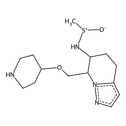 C[S+]([O-])NC1CCc2ccnn2C1COC1CCNCC1